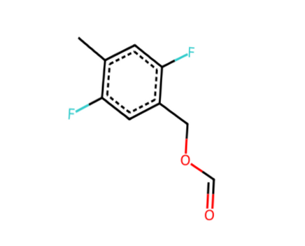 Cc1cc(F)c(COC=O)cc1F